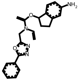 C=CN(Cc1nnc(-c2ccccc2)o1)C(=C)OC1CCc2cc(N)ccc21